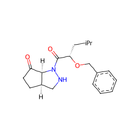 CC(C)C[C@H](OCc1ccccc1)C(=O)N1NC[C@H]2CCC(=O)[C@H]21